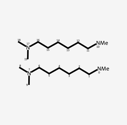 CNCCCCCCN(C)C.CNCCCCCCN(C)C